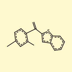 C=C(c1cc2ccccc2s1)c1ccc(C)cc1C